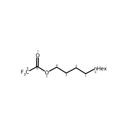 CCCCCCCCCCOC(=O)C(F)(F)F